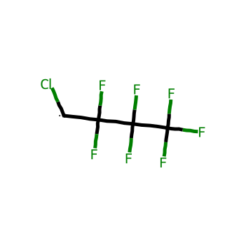 FC(F)(F)C(F)(F)C(F)(F)[CH]Cl